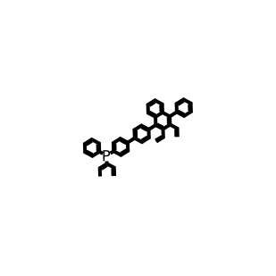 C=C/C(=C\C)P(c1ccccc1)c1ccc(-c2ccc(-c3c(C=C)c(C=C)c(-c4ccccc4)c4ccccc34)cc2)cc1